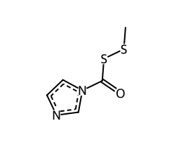 CSSC(=O)n1ccnc1